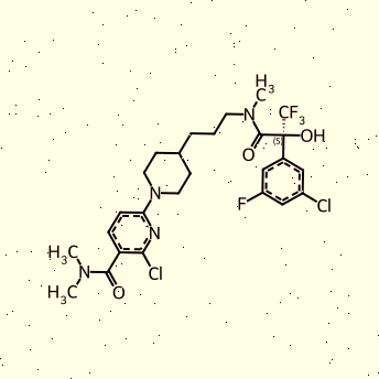 CN(C)C(=O)c1ccc(N2CCC(CCCN(C)C(=O)[C@@](O)(c3cc(F)cc(Cl)c3)C(F)(F)F)CC2)nc1Cl